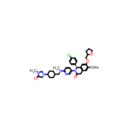 COc1cc2c(cc1OCC1CCCO1)[C@H](c1ccc(Cl)cc1)N(c1ccc(N(C)CC3CCC(N4CC(=O)N(C)C4)CC3)nc1)C(=O)C2